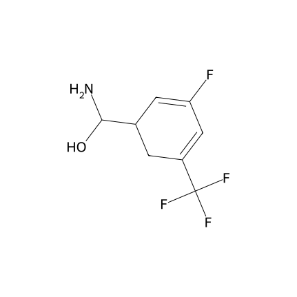 NC(O)C1C=C(F)C=C(C(F)(F)F)C1